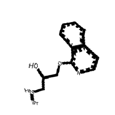 CC(C)NCC(O)COc1nccc2ccccc12